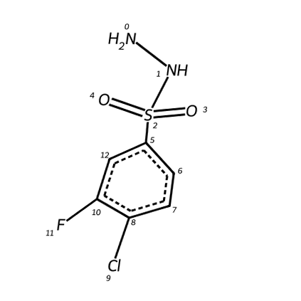 NNS(=O)(=O)c1ccc(Cl)c(F)c1